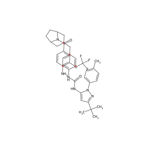 Cc1ccc(-n2nc(C(C)(C)C)cc2NC(=O)Nc2ccc(CC3CC4CCC(C3)N4C(=O)c3ccc(N)c(OC(F)(F)F)c3)cc2)cc1